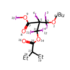 CCC(C)OC(I)(I)C(I)(C(=O)OI)C(I)(I)OC(=O)C(CC)CC